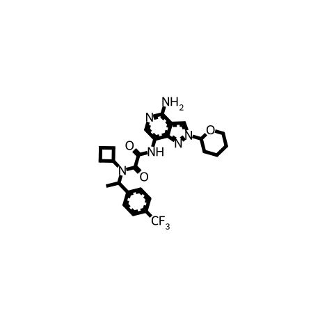 CC(c1ccc(C(F)(F)F)cc1)N(C(=O)C(=O)Nc1cnc(N)c2cn(C3CCCCO3)nc12)C1CCC1